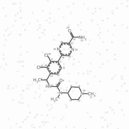 CC(NC(=O)N(C)C1CCN(C)CC1)c1ccc(-c2cnc(C(N)=O)cn2)c(Cl)c1Cl